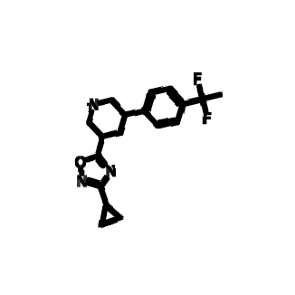 CC(F)(F)c1ccc(C2C[N]CC(c3nc(C4CC4)no3)C2)cc1